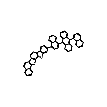 c1ccc2c(-c3c4ccccc4c(-c4ccc(-c5ccc6c(c5)oc5c6ccc6c7ccc8ccccc8c7oc65)c5ccccc45)c4ccccc34)cccc2c1